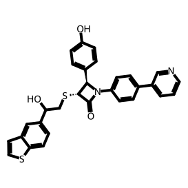 O=C1[C@H](SCC(O)c2ccc3sccc3c2)[C@@H](c2ccc(O)cc2)N1c1ccc(-c2cccnc2)cc1